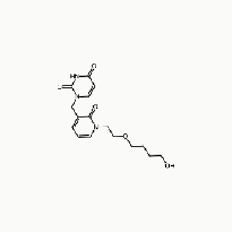 O=c1ccn(Cc2cccn(CCOCCCCO)c2=O)c(=O)[nH]1